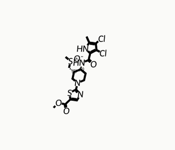 COC(=O)c1cnc(N2CC[C@@H](NC(=O)c3[nH]c(C)c(Cl)c3Cl)[C@@H](C[S+](C)[O-])C2)s1